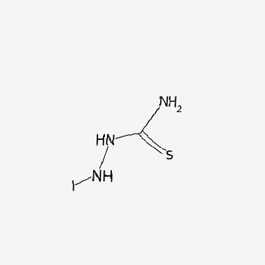 NC(=S)NNI